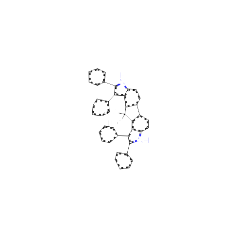 CC1(C)c2c(ccc3[nH]c(-c4ccccc4)c(-c4ccccc4)c23)-c2ccc3[nH]c(-c4ccccc4)c(-c4ccccc4)c3c21